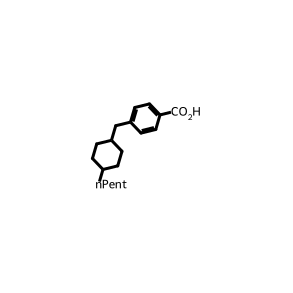 CCCCCC1CCC(Cc2ccc(C(=O)O)cc2)CC1